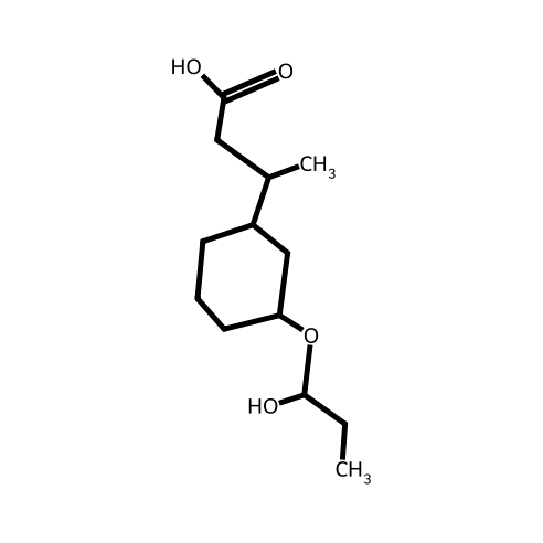 CCC(O)OC1CCCC(C(C)CC(=O)O)C1